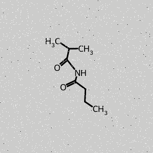 CCCC(=O)NC(=O)C(C)C